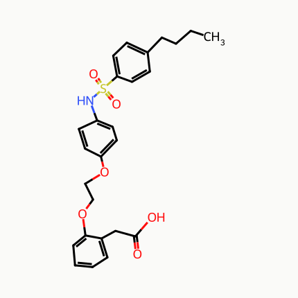 CCCCc1ccc(S(=O)(=O)Nc2ccc(OCCOc3ccccc3CC(=O)O)cc2)cc1